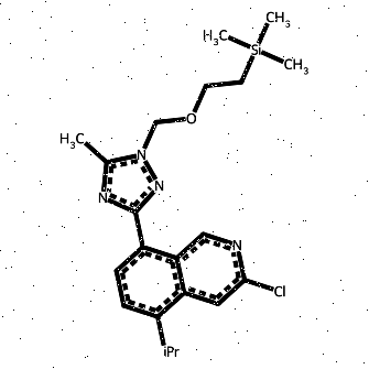 Cc1nc(-c2ccc(C(C)C)c3cc(Cl)ncc23)nn1COCC[Si](C)(C)C